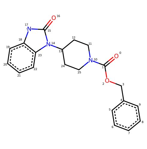 O=C(OCc1ccccc1)N1CCC(N2C(=O)[N]c3ccccc32)CC1